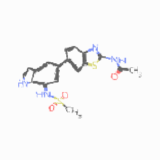 CC(=O)Nc1nc2ccc(-c3cc(NS(C)(=O)=O)c4[nH]ccc4c3)cc2s1